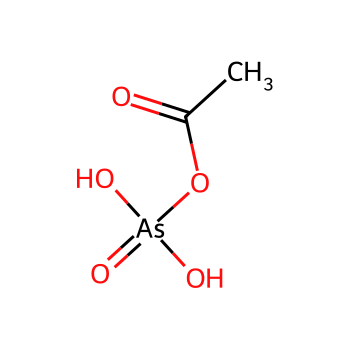 CC(=O)O[As](=O)(O)O